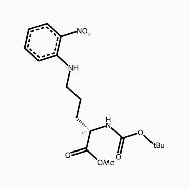 COC(=O)[C@H](CCCNc1ccccc1[N+](=O)[O-])NC(=O)OC(C)(C)C